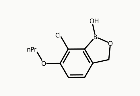 CCCOc1ccc2c(c1Cl)B(O)OC2